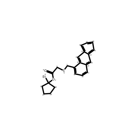 CCC1(OC(=O)CSCc2cccc3cc4ccccc4cc23)CCCC1